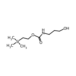 C[Si](C)(C)CCOC(=O)NCCCO